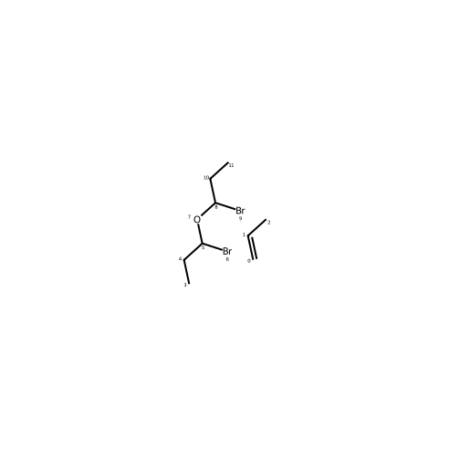 C=CC.CCC(Br)OC(Br)CC